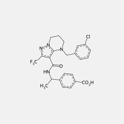 CC(NC(=O)c1c(C(F)(F)F)nn2c1N(Cc1cccc(Cl)c1)CCC2)c1ccc(C(=O)O)cc1